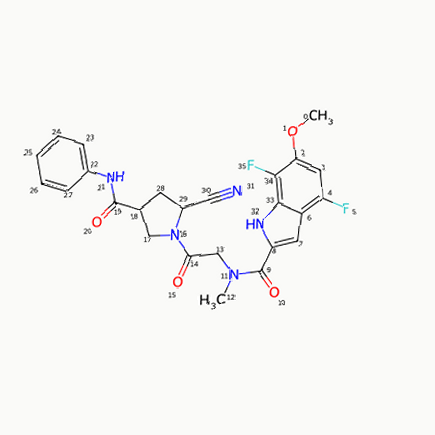 COc1cc(F)c2cc(C(=O)N(C)CC(=O)N3CC(C(=O)Nc4ccccc4)CC3C#N)[nH]c2c1F